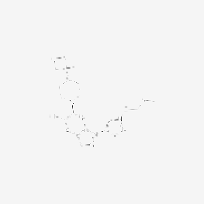 CNCOn1cc(-n2ncc3cc(Cl)c(N4CCN(C5(C)COC5)CC4)cc32)cn1